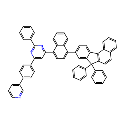 c1ccc(-c2nc(-c3ccc(-c4cccnc4)cc3)cc(-c3ccc(-c4ccc5c(c4)C(c4ccccc4)(c4ccccc4)c4ccc6ccccc6c4-5)c4ccccc34)n2)cc1